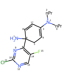 CCCN(CCC)C1=CCC(N)(c2nc(Cl)ncc2F)C=C1